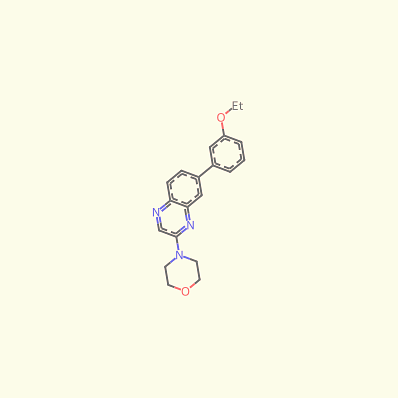 CCOc1cccc(-c2ccc3ncc(N4CCOCC4)nc3c2)c1